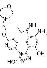 CCC(=N)c1cc(-c2nnc(O)n2-c2ccc(OCCN3CCOCC3)nc2)c(O)cc1N